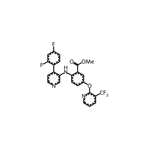 COC(=O)c1cc(Oc2ncccc2C(F)(F)F)ccc1Nc1cnccc1-c1ccc(F)cc1F